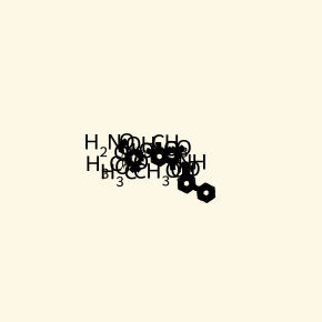 CO[C@@H]1[C@@H](OC(N)=O)[C@@H](O)[C@H](Oc2ccc3c(O)c(NS(=O)(=O)c4cccc(-c5ccccc5)c4)c(=O)oc3c2C)OC1(C)C